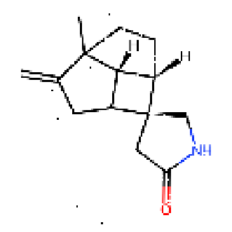 C=C1CC2[C@H]3[C@H](CCC13C)[C@@]21CNC(=O)C1